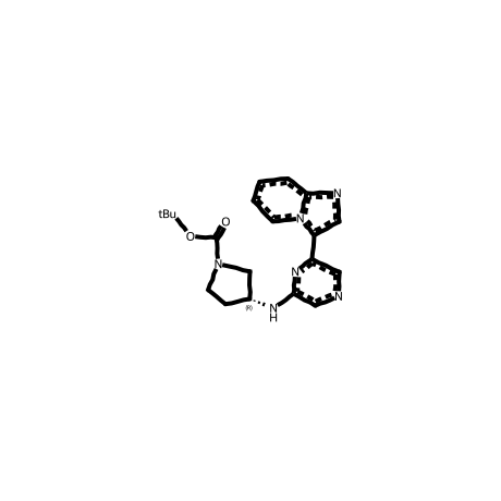 CC(C)(C)OC(=O)N1CC[C@@H](Nc2cncc(-c3cnc4ccccn34)n2)C1